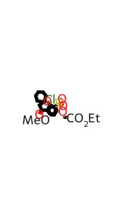 CCOC(=O)COc1cc(OC)c2c(c1S(=O)(=O)Cl)OC1(CCCCC1)CC2=O